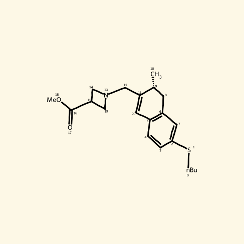 CCCCSc1ccc2c(c1)C[C@@H](C)C(CN1CC(C(=O)OC)C1)=C2